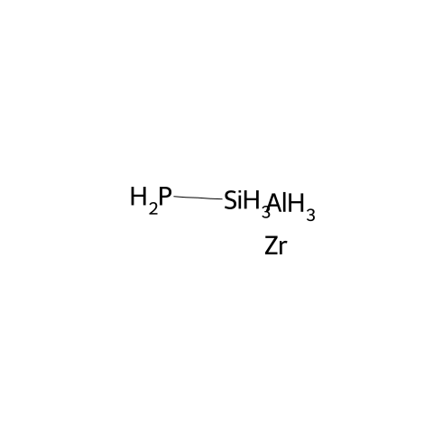 [AlH3].[SiH3]P.[Zr]